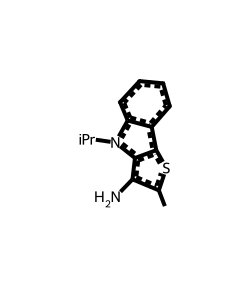 Cc1sc2c3ccccc3n(C(C)C)c2c1N